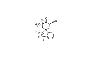 COC1(c2ccccc2C(F)(F)F)CC(C#N)C(=O)C(C)(C)C1